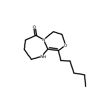 CCCCCC1=C2NCCCC(=O)N2CCO1